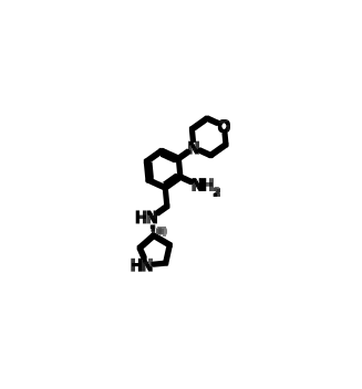 Nc1c(CN[C@@H]2CCNC2)cccc1N1CCOCC1